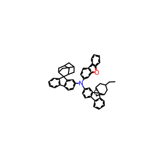 CCC1CC2CCCC(C1)C21c2ccccc2-c2ccc(N(c3ccc4c(c3)C3(c5ccccc5-4)C4CC5CC(C4)CC3C5)c3ccc4c(c3)oc3ccccc34)cc21